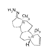 C[C@]12CCC3C(CC[C@H]4CC=CC[C@]34C)C1CCC2=NN